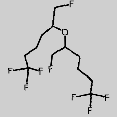 FCC(CCCC(F)(F)F)OC(CF)CCCC(F)(F)F